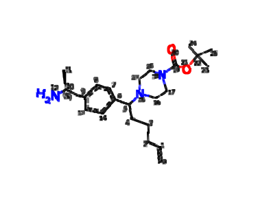 C=CCCCC(c1ccc([C@H](C)N)cc1)N1CCN(C(=O)OC(C)(C)C)CC1